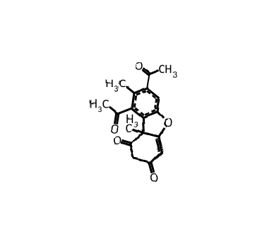 CC(=O)c1cc2c(c(C(C)=O)c1C)C1(C)C(=O)CC(=O)C=C1O2